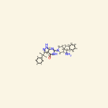 CC(C)(c1ccccc1)c1n[nH]c2nc(N3CCC4(CC3)Cc3ccccc3[C@H]4N)[nH]c(=O)c12